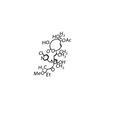 CC[C@H](OC)[C@@H](C)C1O[C@@H]1C(NCc1ccc(Cl)nc1)C(C)(O)/C=C/C=C(\C)[C@H]1OC(=O)C[C@H](O)CC[C@@](C)(O)[C@@H](OC(C)=O)/C=C/[C@@H]1C